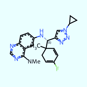 CNc1ncnc2ccc(N[C@H](c3cn(C4CC4)nn3)C3(C)C=CC(F)=CC3)cc12